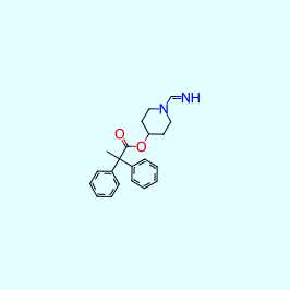 CC(C(=O)OC1CCN(C=N)CC1)(c1ccccc1)c1ccccc1